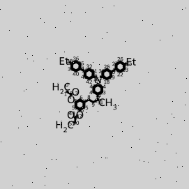 C=CC(=O)Oc1cc(CCC(C)c2ccc(N(c3ccc(-c4ccc(CC)cc4)cc3)c3ccc(-c4ccc(CC)cc4)cc3)cc2)cc(OC(=O)C=C)c1